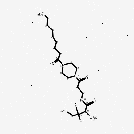 CCCCCCCCCCCCCCCCCC(=O)N1CCN(C(=O)CCNC(=O)C(OC(C)=O)C(C)(C)COC(C)=O)CC1